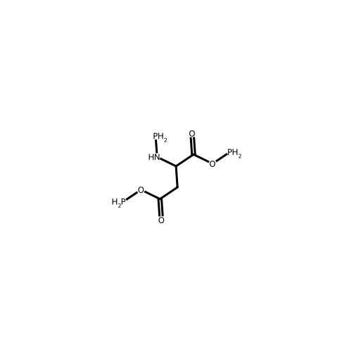 O=C(CC(NP)C(=O)OP)OP